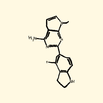 Cn1ccc2c(N)nc(-c3ccc4c(c3F)CCN4)nc21